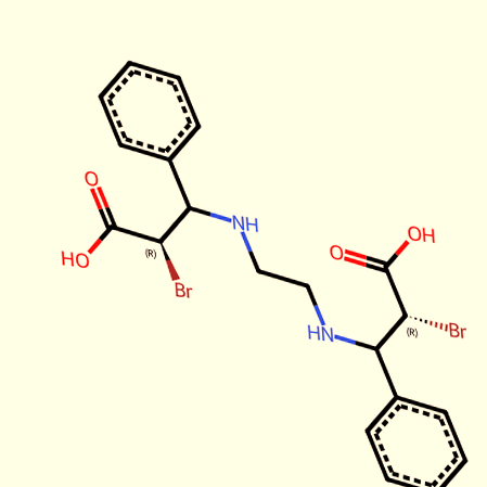 O=C(O)[C@H](Br)C(NCCNC(c1ccccc1)[C@@H](Br)C(=O)O)c1ccccc1